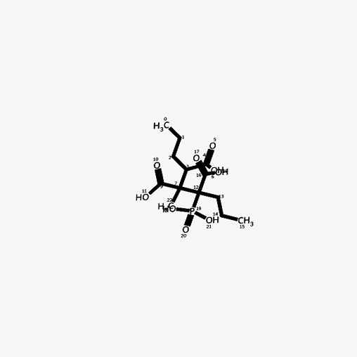 CCCC(C(=O)O)C(C)(C(=O)O)C(CCC)(C(=O)O)P(=O)(O)O